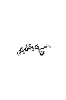 COCCCn1c([C@@H]2CCCN(C(=O)C[C@H](C)Cc3ccc(-n4ccc(=O)n(C)c4=O)cc3)C2)nc2ccccc21